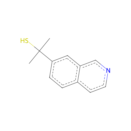 CC(C)(S)c1ccc2ccncc2c1